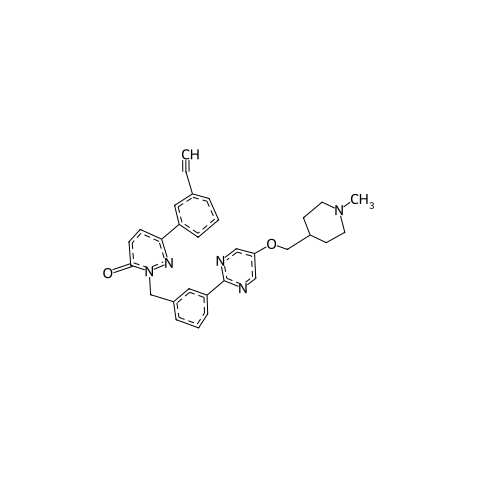 C#Cc1cccc(-c2ccc(=O)n(Cc3cccc(-c4ncc(OCC5CCN(C)CC5)cn4)c3)n2)c1